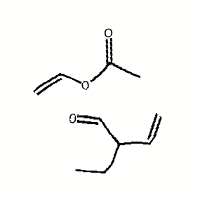 C=CC(C=O)CC.C=COC(C)=O